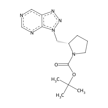 CC(C)(C)OC(=O)N1CCC[C@H]1Cn1nnc2cncnc21